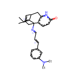 C/C=C1\C2C=C(C)CC1(/N=C/C=C/c1cccc(N(CC)CC)c1)c1ccc(=O)[nH]c1C2